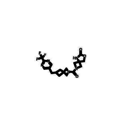 O=C1NC2(CO1)CN(C(=O)N1CC3(CC(Cc4cnc(C(F)(F)F)nc4)C3)C1)C2